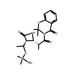 CC(C(=O)N1C(=O)c2ccccc2OC1(C)C)[C@H]1NC(=O)[C@@H]1C(C)O[Si](C)(C)C(C)(C)C